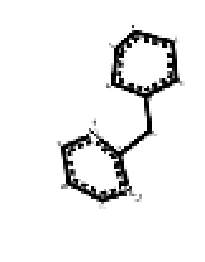 [CH](c1ccccc1)c1ncccn1